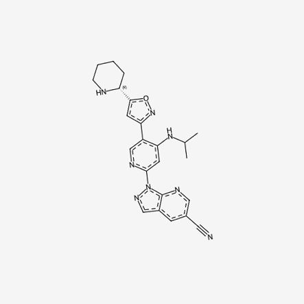 CC(C)Nc1cc(-n2ncc3cc(C#N)cnc32)ncc1-c1cc([C@H]2CCCCN2)on1